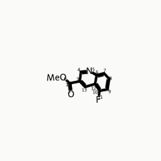 COC(=O)c1cnc2cccc(F)c2c1